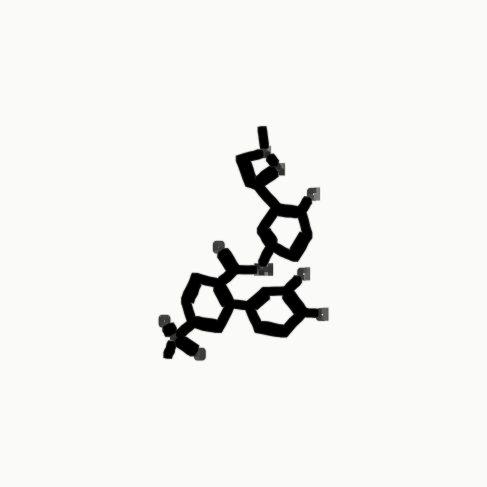 Cn1ccc(-c2cc(NC(=O)c3ccc(S(C)(=O)=O)cc3-c3ccc(Cl)c(Cl)c3)ccc2Cl)n1